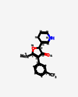 CNC1=C(c2cccc(C(F)(F)F)c2)C(=O)C(C2=CNC=CC2)O1